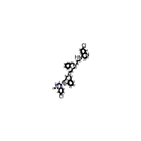 C=N/C=C\C(NCCCN(CCCCN(CCCNc1ccnc2cc(Cl)ccc12)Cc1ccccc1)Cc1ccccc1)=C1\C=CC(Cl)=CC1